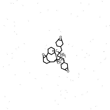 CC(C)(CC1CCC2OC2C1)[Si]1(C(C)(C)CC2CCC3OC3C2)C2CCCC(C2)C23CC(CCC2O3)CC1(C)C